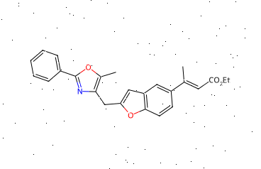 CCOC(=O)/C=C(\C)c1ccc2oc(Cc3nc(-c4ccccc4)oc3C)cc2c1